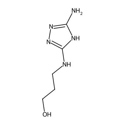 Nc1nnc(NCCCO)[nH]1